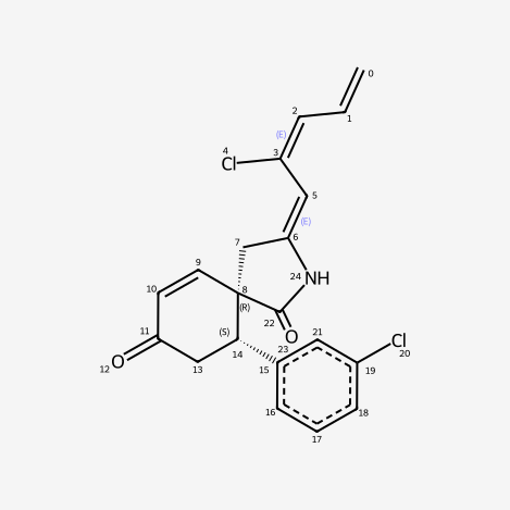 C=C/C=C(Cl)\C=C1/C[C@]2(C=CC(=O)C[C@H]2c2cccc(Cl)c2)C(=O)N1